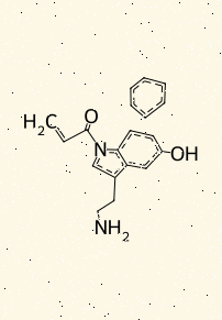 C=CC(=O)n1cc(CCN)c2cc(O)ccc21.c1ccccc1